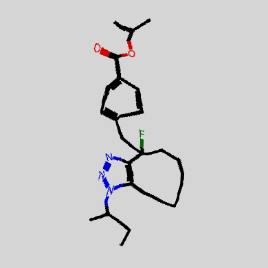 CCC(C)n1nnc2c1CCCCCC2(F)Cc1ccc(C(=O)OC(C)C)cc1